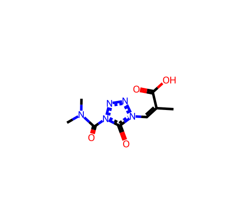 CC(=Cn1nnn(C(=O)N(C)C)c1=O)C(=O)O